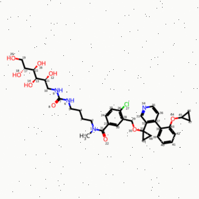 CN(CCCCNC(=O)NC[C@H](O)[C@@H](O)[C@H](O)[C@H](O)CO)C(=O)c1ccc(Cl)c(COC2(c3cnccc3-c3ccccc3OC3CC3)CC2)c1